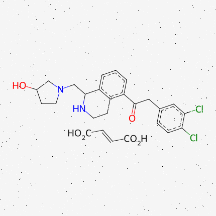 O=C(Cc1ccc(Cl)c(Cl)c1)c1cccc2c1CCNC2CN1CCC(O)C1.O=C(O)C=CC(=O)O